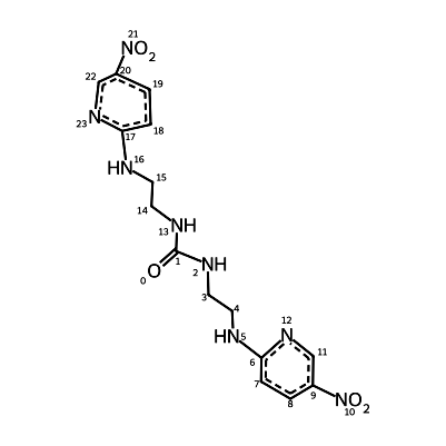 O=C(NCCNc1ccc([N+](=O)[O-])cn1)NCCNc1ccc([N+](=O)[O-])cn1